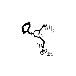 CC(C)(C)OC(=O)NCC1CN(Cc2ccccc2)CC(CN)O1